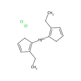 CCC1=[C]([Hf+2][C]2=C(CC)C=CC2)CC=C1.[Cl-].[Cl-]